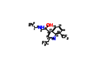 CC(C)CNCC(O)c1cc(C(F)(F)F)nc2c(C(F)(F)F)cccc12